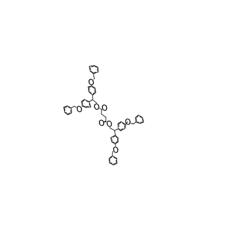 O=C(CCC(=O)OCC(c1ccc(OCc2ccccc2)cc1)c1ccc(OCc2ccccc2)cc1)OCC(c1ccc(OCc2ccccc2)cc1)c1ccc(OCc2ccccc2)cc1